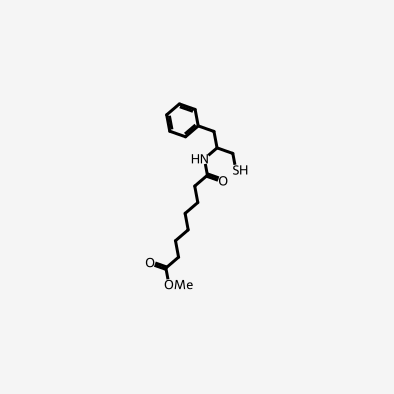 COC(=O)CCCCCCC(=O)NC(CS)Cc1ccccc1